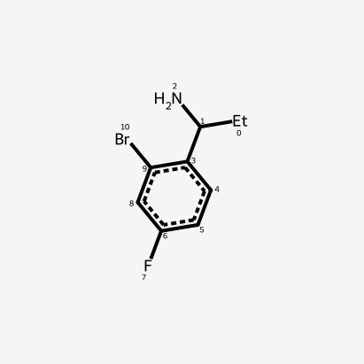 CCC(N)c1ccc(F)cc1Br